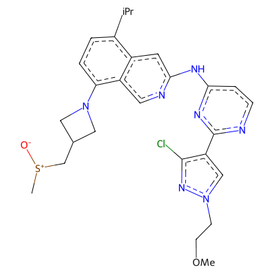 COCCn1cc(-c2nccc(Nc3cc4c(C(C)C)ccc(N5CC(C[S+](C)[O-])C5)c4cn3)n2)c(Cl)n1